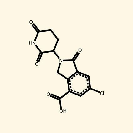 O=C1CCC(N2Cc3c(C(=O)O)cc(Cl)cc3C2=O)C(=O)N1